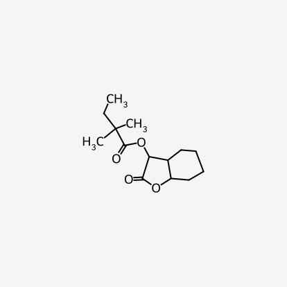 CCC(C)(C)C(=O)OC1C(=O)OC2CCCCC21